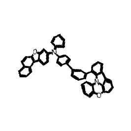 c1ccc(N(c2ccc(-c3cccc(-c4cccc5c6cccc7c6n(c45)-c4ccccc4O7)c3)cc2)c2ccc3c(c2)oc2ccc4ccccc4c23)cc1